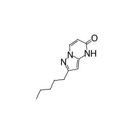 CCCCCc1cc2[nH]c(=O)ccn2n1